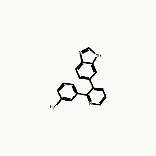 Cc1cccc(-c2ncccc2-c2ccc3nc[nH]c3c2)c1